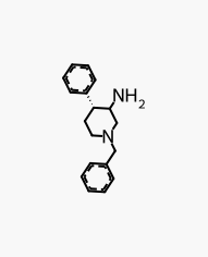 NC1CN(Cc2ccccc2)CC[C@@H]1c1ccccc1